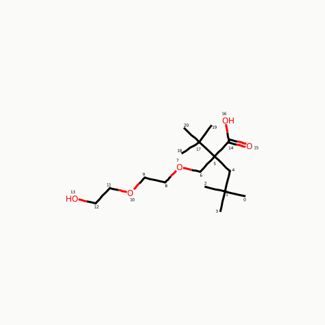 CC(C)(C)CC(COCCOCCO)(C(=O)O)C(C)(C)C